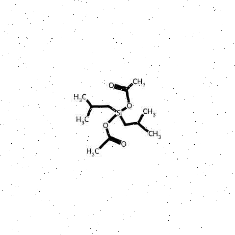 CC(=O)O[Si](CC(C)C)(CC(C)C)OC(C)=O